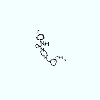 CN1CCCC(CN2CCN(C(=O)Nc3ccc(F)cc3)CC2)C1